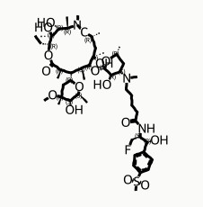 CC[C@H]1OC(=O)[C@H](C)C([C@H]2C[C@@](C)(OC)[C@@H](O)[C@H](C)O2)[C@H](C)[C@@H](O[C@@H]2O[C@H](C)C[C@H](N(C)CCCCC(=O)N[C@H](CF)[C@H](O)c3ccc(S(C)(=O)=O)cc3)[C@H]2O)[C@](C)(O)C[C@@H](C)CN(C)[C@H](C)[C@@H](O)[C@]1(C)O